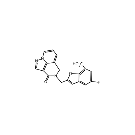 O=C(O)c1cc(F)cc2cc(CN3Cc4cccn5ncc(c45)C3=O)oc12